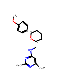 COc1nc(NC[C@H]2CCC[C@@H](c3ccc(OC(F)(F)F)cc3)O2)cc(C(=O)O)n1